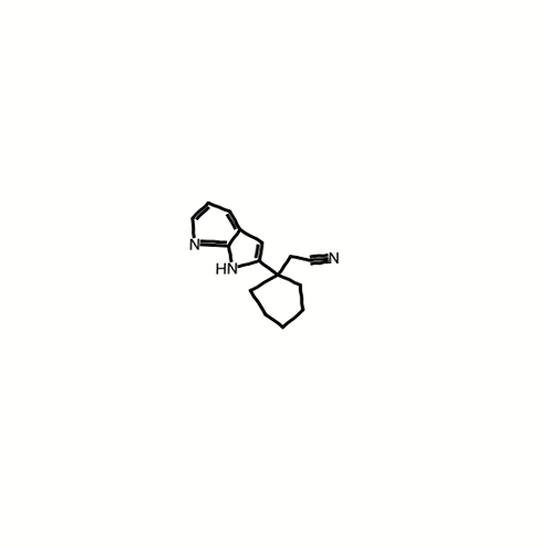 N#CCC1(c2cc3cccnc3[nH]2)CCCCC1